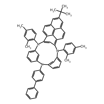 Cc1ccc(N2c3cccc(c3)N(c3ccc(-c4ccccc4)cc3)c3cccc(c3)N(c3ccc(C)cc3C)c3cc2c2ccc4cc(C(C)(C)C)cc5ccc3c2c45)c(C)c1